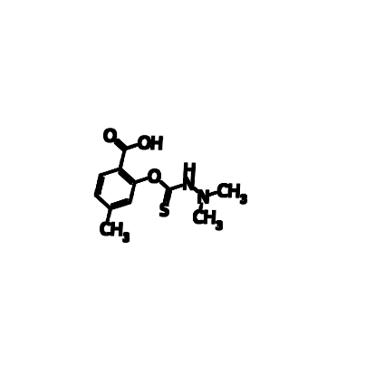 Cc1ccc(C(=O)O)c(OC(=S)NN(C)C)c1